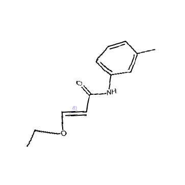 CCO/C=C/C(=O)Nc1cccc(C)c1